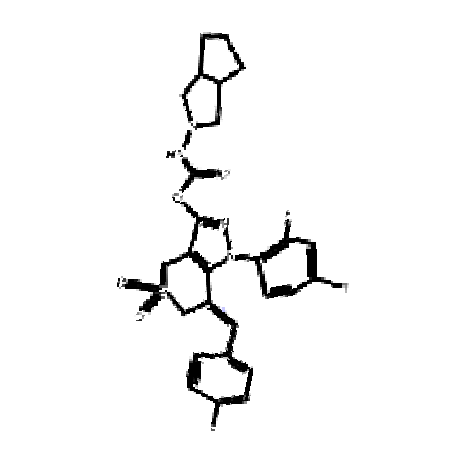 O=C(NN1CC2CCCC2C1)Oc1nn(-c2ccc(F)cc2F)c2c1CS(=O)(=O)C/C2=C\c1ccc(F)cc1